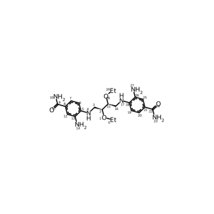 CCO[C@@H](CNc1ccc(C(N)=O)cc1N)[C@H](CNc1ccc(C(N)=O)cc1N)OCC